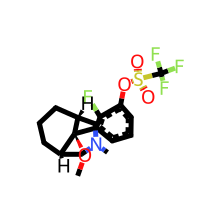 CO[C@]1(c2cccc(OS(=O)(=O)C(F)(F)F)c2F)[C@@H]2CCC[C@H]1CN(C)C2